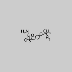 CC(C)COc1ccc(/C=C2/SC(=O)N(CCN)C2=O)cc1